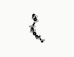 COc1cc2c(cc1OCCCC(=O)Nc1cc(C(=O)Nc3ccc(-c4cc(C(=O)NCCNC(C)(C)C)n(C)c4)cc3)n(C)c1)N=CC1CCCN1C2=O